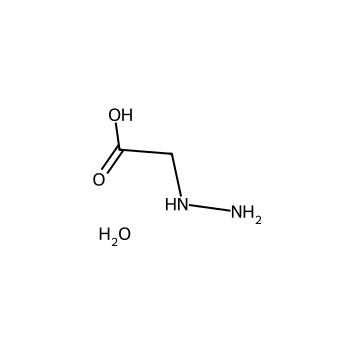 NNCC(=O)O.O